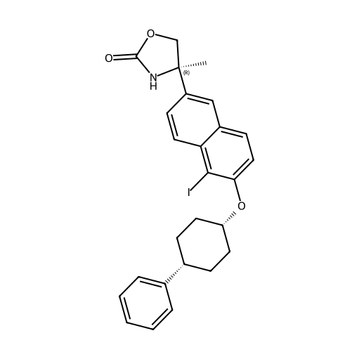 C[C@@]1(c2ccc3c(I)c(O[C@H]4CC[C@@H](c5ccccc5)CC4)ccc3c2)COC(=O)N1